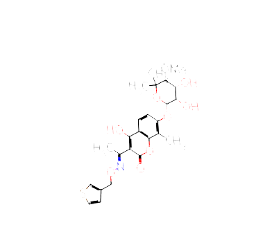 CO[C@@H]1[C@H](O)[C@@H](O)[C@H](Oc2ccc3c(O)c(C(C)=NOCc4ccsc4)c(=O)oc3c2C)OC1(C)C